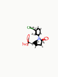 O=C(O)[C@@H]1CCC(=O)N1c1cccc(Cl)c1